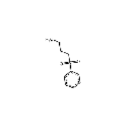 CCCCS(=O)(=O)c1ccccc1